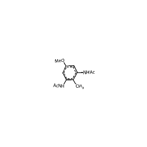 COc1cc(NC(C)=O)c(C)c(NC(C)=O)c1